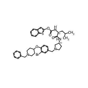 CC(C)C[C@H](NC(=O)Oc1cc2ccccc2s1)C(=O)N[C@H]1CCN(Cc2ccc(OC3CCN(Cc4ccccc4)CC3)c(Br)c2)C1